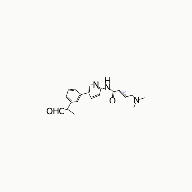 CC(C=O)c1cccc(-c2ccc(NC(=O)/C=C/CN(C)C)nc2)c1